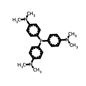 CN(C)c1ccc(P(c2ccc(N(C)C)cc2)c2ccc(N(C)C)cc2)cc1